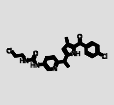 Cc1cc(C(C)c2ccc(NC(=O)NCCCl)cn2)[nH]c1C(=O)c1ccc(Cl)cc1